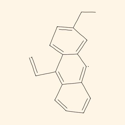 [CH]=Cc1c2ccccc2[c]c2cc(CC)ccc12